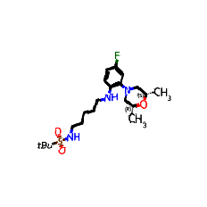 C[C@@H]1CN(c2cc(F)ccc2NCCCCCNS(=O)(=O)C(C)(C)C)C[C@H](C)O1